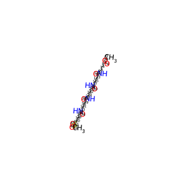 CCOC(=O)CCCCCNC(=O)CCCCCNC(=O)CCCCCNC(=O)CCCCCNC(=O)CCCCCSS(C)(=O)=O